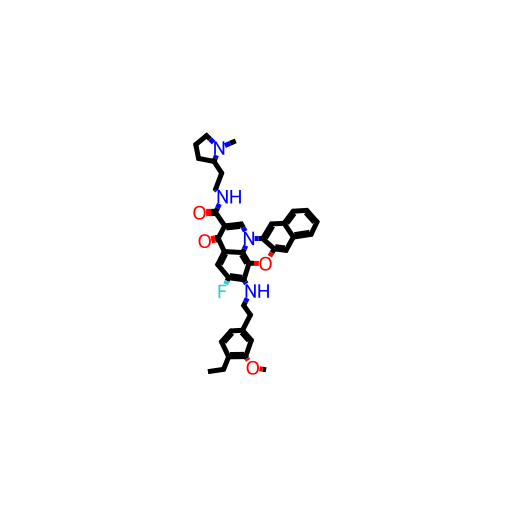 CCc1ccc(CCNc2c(F)cc3c(=O)c(C(=O)NCCC4CCCN4C)cn4c3c2Oc2cc3ccccc3cc2-4)cc1OC